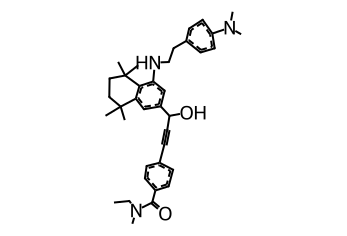 CCN(C)C(=O)c1ccc(C#CC(O)c2cc(NCCc3ccc(N(C)C)cc3)c3c(c2)C(C)(C)CCC3(C)C)cc1